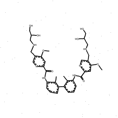 COc1cc(C(=O)Nc2cccc(-c3cccc(NC(=O)c4cc(OC)c(CNCC(O)CO)cn4)c3C)c2C)ncc1CNCC(O)CO